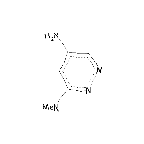 CNc1cc(N)cnn1